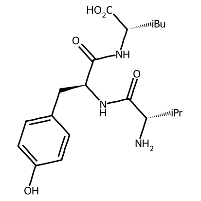 CCC(C)[C@H](NC(=O)[C@H](Cc1ccc(O)cc1)NC(=O)[C@@H](N)C(C)C)C(=O)O